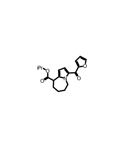 CC(C)OC(=O)C1CCCCn2c(C(=O)c3ccco3)ccc21